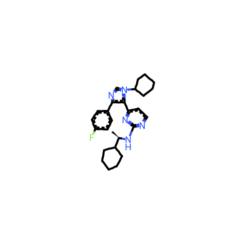 C[C@@H](Nc1nccc(-c2c(-c3ccc(F)cc3)ncn2C2CCCCC2)n1)C1CCCCC1